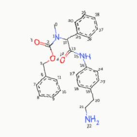 CN(C(=O)OCc1ccccc1)C(C(=O)Nc1ccc(CCN)cc1)c1ccccc1